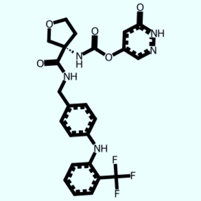 O=C(N[C@@]1(C(=O)NCc2ccc(Nc3ccccc3C(F)(F)F)cc2)CCOC1)Oc1cn[nH]c(=O)c1